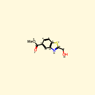 COC(=O)c1ccc2sc(CO)nc2c1